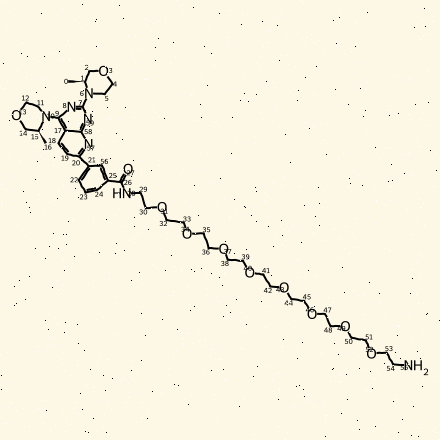 C[C@H]1COCCN1c1nc(N2CCOC[C@@H]2C)c2ccc(-c3cccc(C(=O)NCCOCCOCCOCCOCCOCCOCCOCCOCCN)c3)nc2n1